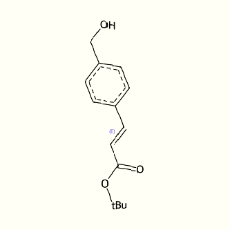 CC(C)(C)OC(=O)/C=C/c1ccc(CO)cc1